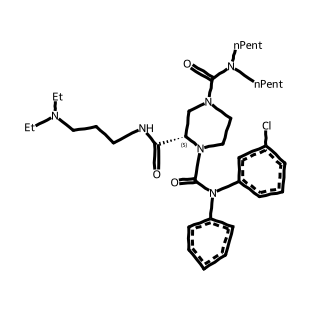 CCCCCN(CCCCC)C(=O)N1CCN(C(=O)N(c2ccccc2)c2cccc(Cl)c2)[C@H](C(=O)NCCCN(CC)CC)C1